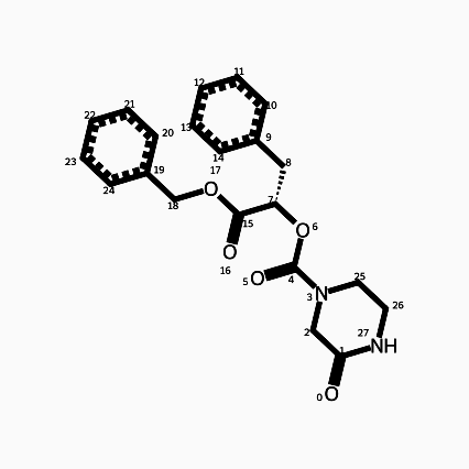 O=C1CN(C(=O)O[C@@H](Cc2ccccc2)C(=O)OCc2ccccc2)CCN1